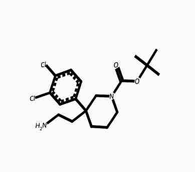 CC(C)(C)OC(=O)N1CCCC(CCN)(c2ccc(Cl)c(Cl)c2)C1